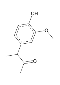 COc1cc(C(C)C(C)=O)ccc1O